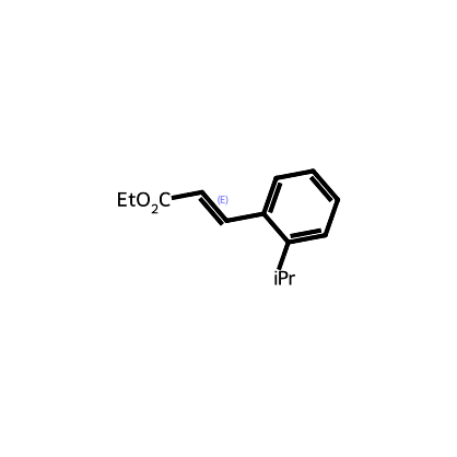 CCOC(=O)/C=C/c1ccccc1C(C)C